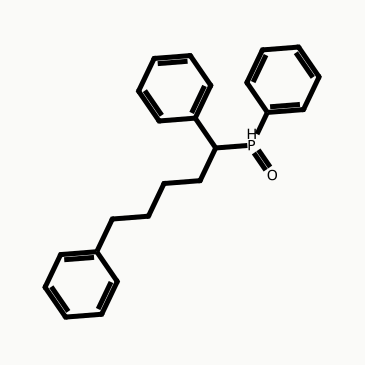 O=[PH](c1ccccc1)C(CCCCc1ccccc1)c1ccccc1